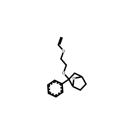 C=COCCOC1(c2ccccc2)CC2CCC1O2